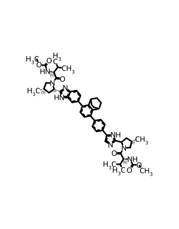 COC(=O)N[C@H](C(=O)N1C[C@@H](C)CC1c1ncc(-c2ccc(-c3ccc(-c4ccc5nc([C@@H]6C[C@H](C)CN6C(=O)[C@@H](NC(=O)OC)C(C)C)[nH]c5c4)c4c3C3CCC4CC3)cc2)[nH]1)C(C)C